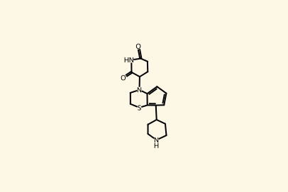 O=C1CCC(N2CCSc3c(C4CCNCC4)cccc32)C(=O)N1